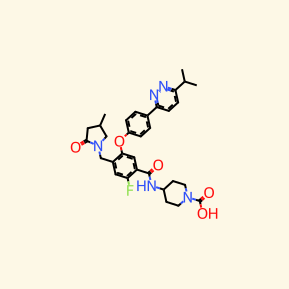 CC1CC(=O)N(Cc2cc(F)c(C(=O)NC3CCN(C(=O)O)CC3)cc2Oc2ccc(-c3ccc(C(C)C)nn3)cc2)C1